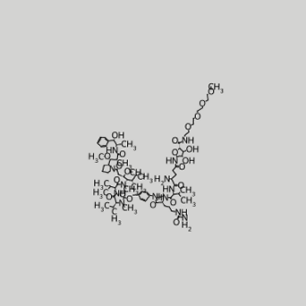 CC[C@H](C)[C@@H]([C@@H](CC(=O)N1CCC[C@H]1[C@H](OC)[C@@H](C)C(=O)N[C@H](C)[C@@H](O)c1ccccc1)OC)N(C)C(=O)[C@@H](NC(=O)[C@H](C(C)C)N(C)C(=O)OCc1ccc(NC(=O)[C@H](CCCNC(N)=O)NC(=O)[C@@H](NC(=O)[C@@H](N)CCC(=O)NC2O[C@H](C(=O)NCCOCCOCCOCCOC)[C@@H](O)[C@H]2O)C(C)C)cc1)C(C)C